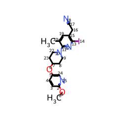 COc1ccc(OC2CCN(c3nc(I)c(CC#N)cc3C)CC2)cn1